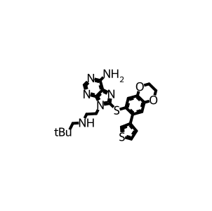 CC(C)(C)CNCCn1c(Sc2cc3c(cc2-c2ccsc2)OCCO3)nc2c(N)ncnc21